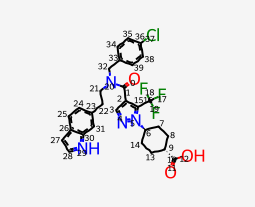 O=C(c1cnn([C@H]2CC[C@H](C(=O)O)CC2)c1C(F)(F)F)N(CCc1ccc2cc[nH]c2c1)Cc1ccc(Cl)cc1